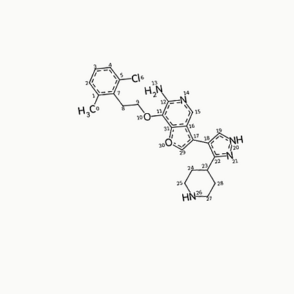 Cc1cccc(Cl)c1CCOc1c(N)ncc2c(-c3c[nH]nc3C3CCNCC3)coc12